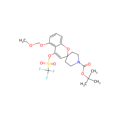 COCOc1cccc2c1C(OS(=O)(=O)C(F)(F)F)=CC1(CCN(C(=O)OC(C)(C)C)CC1)O2